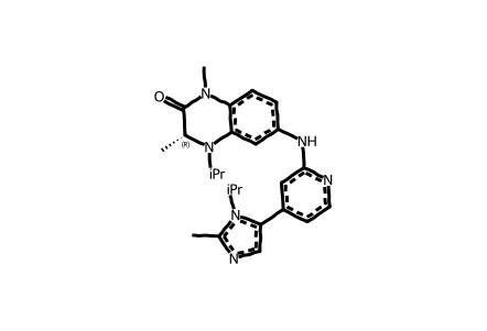 Cc1ncc(-c2ccnc(Nc3ccc4c(c3)N(C(C)C)[C@H](C)C(=O)N4C)c2)n1C(C)C